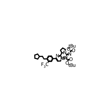 CC(C)(C)OC(=O)N=C(NC(=O)OC(C)(C)C)N1CCCC1C1=NC(c2ccc(CCC3CCCC3)c(C(F)(F)F)c2)=CCN1